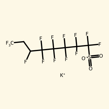 O=S(=O)([O-])C(F)(F)C(F)(F)C(F)(F)C(F)(F)C(F)(F)C(F)CC(F)(F)F.[K+]